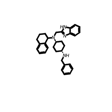 c1ccc(CN[C@H]2CC[C@H](N(Cc3nc4ccccc4[nH]3)C3CCCc4ccccc43)CC2)cc1